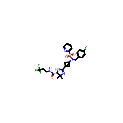 CC1(C)N=C(C23CC(N(Cc4ccc(Cl)cc4)S(=O)(=O)c4ccccn4)(C2)C3)N[C@H]1C(=O)NCCC(F)(F)F